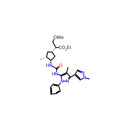 CCOC(=O)C(COC)[C@H]1C[C@@H](C)[C@H](NC(=O)Nc2c(C)c(-c3cnn(C)c3)nn2-c2ccccc2)C1